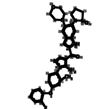 Cc1cc(Oc2ccccc2F)ccc1-n1ncc(C(=O)c2cc3cc(N4CCOCC4)c(N4CCC[S+]4[O-])cc3[nH]2)c1N